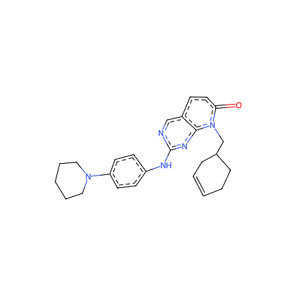 O=c1ccc2cnc(Nc3ccc(N4CCCCC4)cc3)nc2n1CC1CC=CCC1